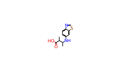 CC(Nc1ccc2ncsc2c1)C(C)C(=O)O